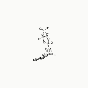 O.O.O.O.O.O=P([O-])([O-])OP(=O)([O-])OP(=O)([O-])[O-].[Na+].[Na+].[Na+].[Na+].[Na+]